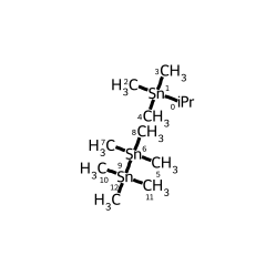 C[CH](C)[Sn]([CH3])([CH3])[CH3].[CH3][Sn]([CH3])([CH3])[Sn]([CH3])([CH3])[CH3]